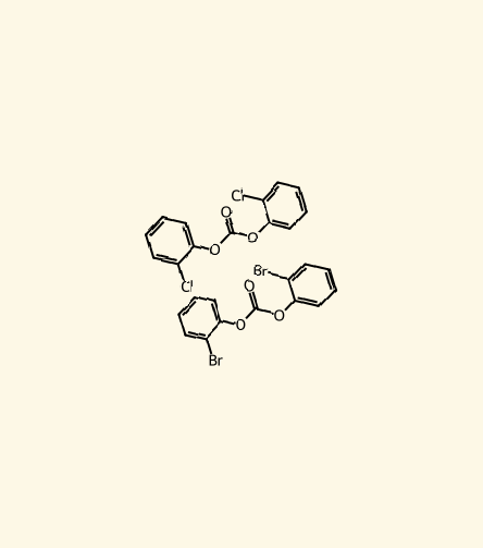 O=C(Oc1ccccc1Br)Oc1ccccc1Br.O=C(Oc1ccccc1Cl)Oc1ccccc1Cl